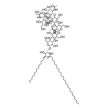 CCCCCCCCCCCCC/C=C/[C@@H](O)[C@H](CO[C@@H]1OC(CO)[C@@H](O[C@@H]2OC(CO)[C@H](O[C@@H]3OC(CO)[C@H](O)[C@H](O[C@@H]4OC(CO)[C@H](O[C@@H]5OC(CO)[C@H](O)[C@H](O)C5NC(C)=O)[C@H](O[C@]5(C(=O)O)CC(O)[C@@H](NC(=O)CO)C([C@H](O)[C@H](O)CO)O5)C4O)C3NC(C)=O)[C@H](O)C2O)[C@H](O)C1O)NC(=O)CCCCCCCCCCCCCCCCCCCCCCCCC